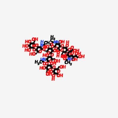 CC(=O)N[C@H]1[C@H](OC[C@H]2O[C@@H](O[C@H]3[C@H](O)[C@@H](NC(C)=O)[C@H](O[C@H]4[C@@H](O)[C@@H](CO)O[C@@H](O[C@H]5[C@H](O)[C@@H](O)[C@H](O)O[C@@H]5CO)[C@@H]4O)O[C@@H]3CO)[C@H](O)[C@@H](O[C@@H]3O[C@H](CO)[C@@H](O[C@@H]4O[C@H](CO)[C@H](O)[C@H](O[C@]5(C(=O)O)C[C@H](O)[C@@H](NC(C)=O)[C@H]([C@H](O)[C@H](O)CO)O5)[C@H]4O)[C@H](O)[C@H]3NC(C)=O)[C@H]2O)O[C@H](CO)[C@@H](O[C@@H]2O[C@H](CO)[C@H](O)[C@H](O)[C@H]2O)[C@@H]1O